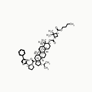 CCCCOC(=O)[C@@H]1C[C@H](C(=O)O[C@H]2CC[C@]3(C)[C@H]4CC[C@@H]5[C@H]6[C@H](C(C)C)CC[C@]6(C(=O)N6CCC[C@H]6c6ncc(-c7ccccc7)[nH]6)CC[C@@]5(C)[C@]4(C)CC[C@H]3C2(C)C)C1(C)C